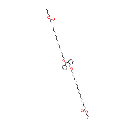 CCCCOC(=O)CCCCCCCCCCCCCCCCCCOc1c2ccccc2c(OCCCCCCCCCCCCCCCCCCC(=O)OCCCC)c2ccccc12